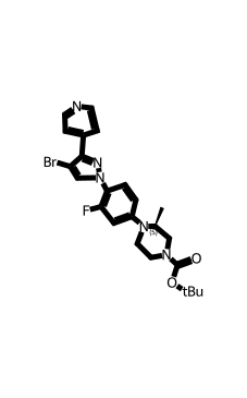 C[C@H]1CN(C(=O)OC(C)(C)C)CCN1c1ccc(-n2cc(Br)c(-c3ccncc3)n2)c(F)c1